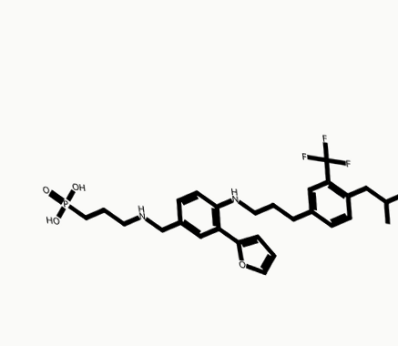 CC(C)Cc1ccc(CCCNc2ccc(CNCCCP(=O)(O)O)cc2-c2ccco2)cc1C(F)(F)F